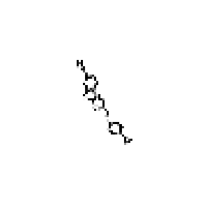 N#Cc1ccc2c(c1)nc1n2C[C@@H](COc2ccc(C3CC3)nc2)O1